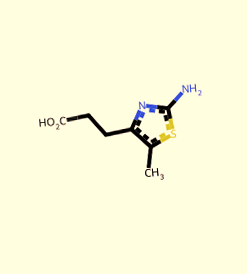 Cc1sc(N)nc1CCC(=O)O